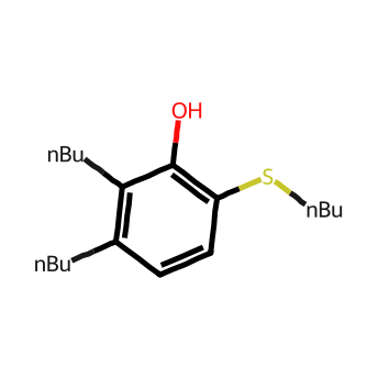 CCCCSc1ccc(CCCC)c(CCCC)c1O